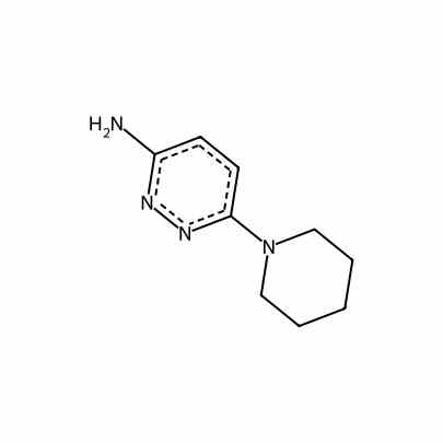 Nc1ccc(N2CCCCC2)nn1